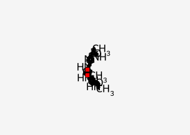 CCc1cc2ncc(CNC34CCC(Nc5ccc(C(=O)NC)nc5C)(CC3)CC4)cc2[nH]c1=O